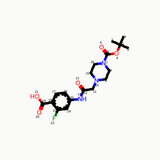 CC(C)(C)OC(=O)N1CCN(CC(=O)Nc2ccc(C(=O)O)c(F)c2)CC1